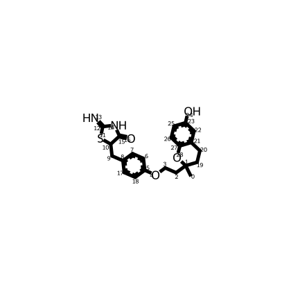 CC1(CCOc2ccc(CC3SC(=N)NC3=O)cc2)CCc2cc(O)ccc2O1